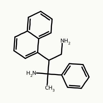 CC(N)(c1ccccc1)C(CN)c1cccc2ccccc12